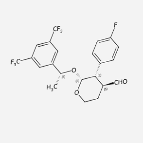 C[C@@H](O[C@H]1OCC[C@H](C=O)[C@H]1c1ccc(F)cc1)c1cc(C(F)(F)F)cc(C(F)(F)F)c1